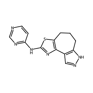 c1cc(Nc2nc3c(s2)CCCc2[nH]ncc2-3)ncn1